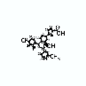 Cc1cc(C(CC(c2ccc(-c3ccc(C(=O)O)s3)cc2)c2ccc(Cl)cc2F)=NO)ccn1